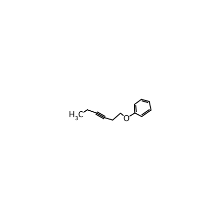 CCC#CCCOc1ccccc1